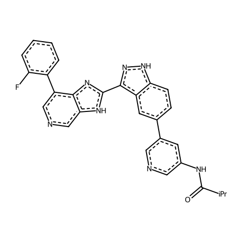 CC(C)C(=O)Nc1cncc(-c2ccc3[nH]nc(-c4nc5c(-c6ccccc6F)cncc5[nH]4)c3c2)c1